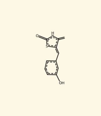 C=c1[nH]c(=O)s/c1=C\c1cccc(O)c1